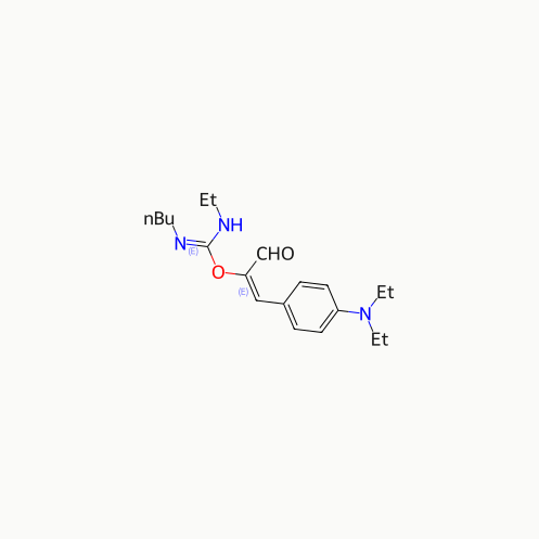 CCCC/N=C(\NCC)O/C(C=O)=C/c1ccc(N(CC)CC)cc1